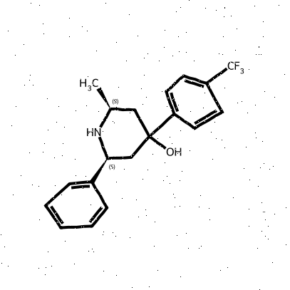 C[C@H]1CC(O)(c2ccc(C(F)(F)F)cc2)C[C@@H](c2ccccc2)N1